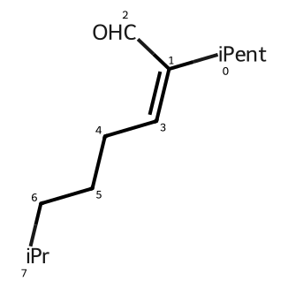 CCCC(C)C(C=O)=CCCCC(C)C